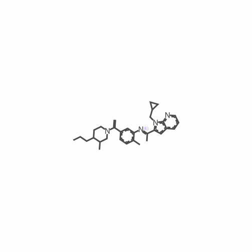 C=C(c1ccc(C)c(/N=C(\C)c2cc3cccnc3n2CC2CC2)c1)N1CCC(CCC)C(C)C1